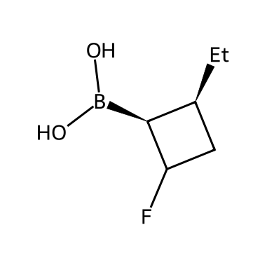 CC[C@H]1CC(F)[C@H]1B(O)O